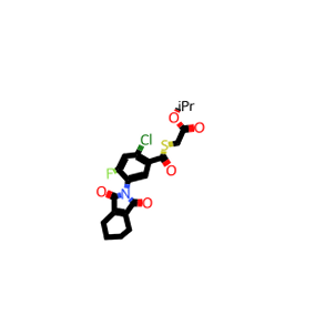 CC(C)OC(=O)CSC(=O)c1cc(N2C(=O)C3=C(CCCC3)C2=O)c(F)cc1Cl